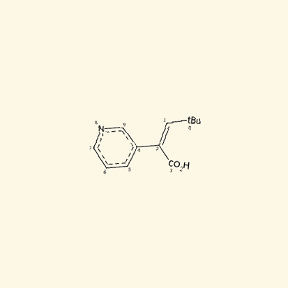 CC(C)(C)C=C(C(=O)O)c1cccnc1